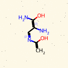 C=C(O)/N=C\C(N)=C(/N)O